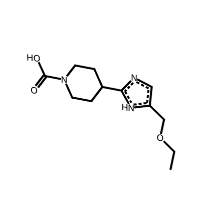 CCOCc1cnc(C2CCN(C(=O)O)CC2)[nH]1